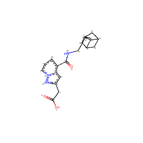 O=C(O)Cc1cc2c(C(=O)NCC3=C4C5CC(C3)CC4C5)cccn2n1